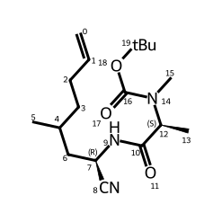 C=CCCC(C)C[C@H](C#N)NC(=O)[C@H](C)N(C)C(=O)OC(C)(C)C